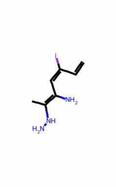 C=C/C(I)=C\C(N)=C(/C)NN